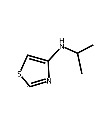 CC(C)Nc1cs[c]n1